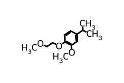 COCCOc1ccc(C(C)C)cc1OC